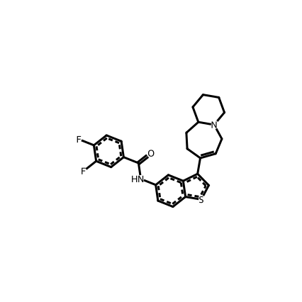 O=C(Nc1ccc2scc(C3=CCN4CCCCC4CC3)c2c1)c1ccc(F)c(F)c1